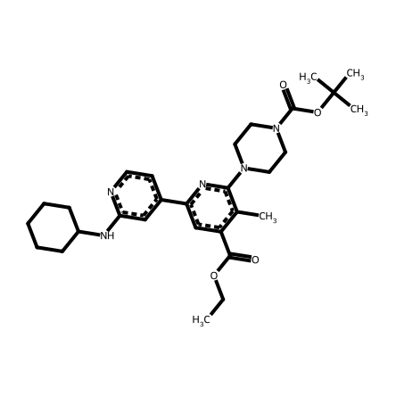 CCOC(=O)c1cc(-c2ccnc(NC3CCCCC3)c2)nc(N2CCN(C(=O)OC(C)(C)C)CC2)c1C